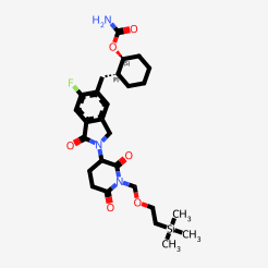 C[Si](C)(C)CCOCN1C(=O)CCC(N2Cc3cc(C[C@H]4CCCC[C@@H]4OC(N)=O)c(F)cc3C2=O)C1=O